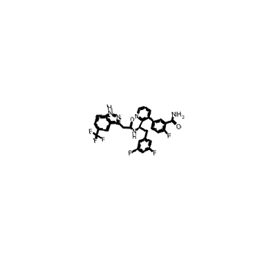 NC(=O)c1cc(-c2cccnc2C(Cc2cc(F)cc(F)c2)NC(=O)Cc2n[nH]c3ccc(C(F)(F)F)cc23)ccc1F